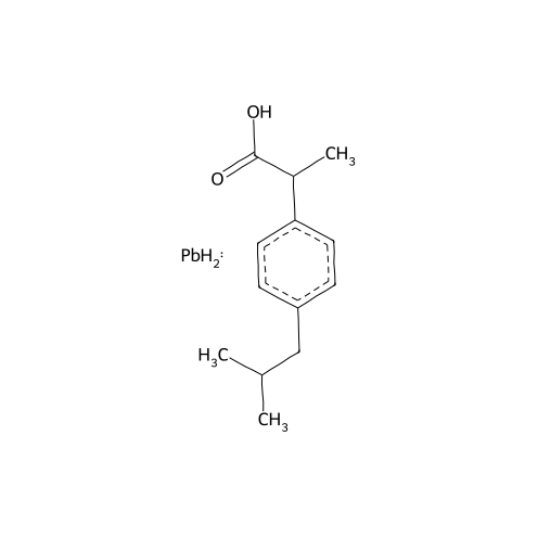 CC(C)Cc1ccc(C(C)C(=O)O)cc1.[PbH2]